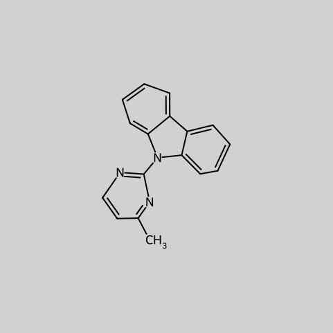 Cc1ccnc(-n2c3ccccc3c3ccccc32)n1